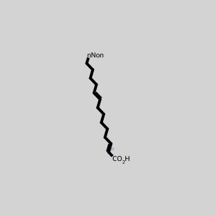 CCCCCCCCCCCCCC=CCCCCC/C=C/C(=O)O